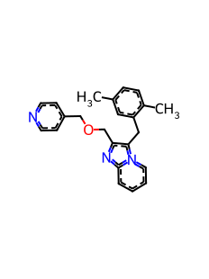 Cc1ccc(C)c(Cc2c(COCc3ccncc3)nc3ccccn23)c1